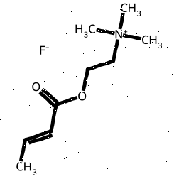 CC=CC(=O)OCC[N+](C)(C)C.[F-]